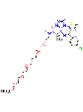 Cc1sc2c(c1C)C(c1ccc(Cl)cc1)=NC([C@@H](C(=O)N(C)CCOCCOCCCOCCOCCOCC(=O)O)C(C)(C)C)c1nnc(C)n1-2